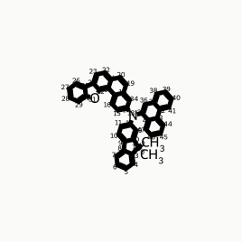 CC1(C)c2ccccc2-c2ccc(N(c3ccc4c(ccc5ccc6c7ccccc7oc6c54)c3)c3cc4ccccc4c4ccccc34)cc21